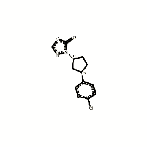 O=c1ocnn1[C@@H]1CC[C@@H](c2ccc(Cl)cc2)C1